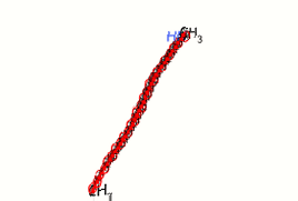 COCCOCCOCCOCCOCCOCCOCCOCCOCCOCCOCCOCCOCCOCCOCCOCCOCCOCCOCCOCCOCCOCCOCCOCCNC(C)=O